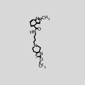 Cn1cc2c(C(=O)NCCCCN3CCc4nc(OCC(F)(F)F)sc4CC3)cccc2n1